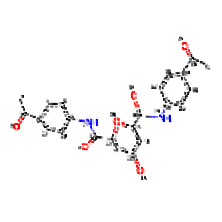 CC(=O)c1ccc(NC(=O)c2cc(=O)cc(C(=O)Nc3ccc(C(C)=O)cc3)o2)cc1